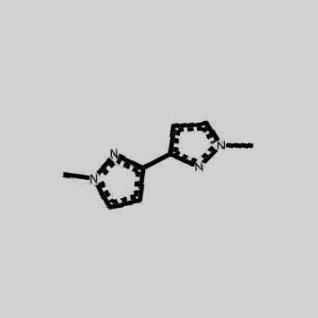 Cn1[c]cc(-c2ccn(C)n2)n1